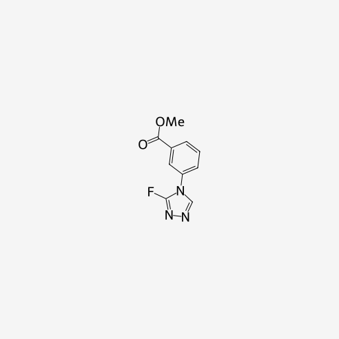 COC(=O)c1cccc(-n2cnnc2F)c1